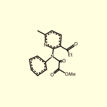 CCC(=O)c1ccc(C)nc1N(C(=O)C(=O)OC)c1ccccc1